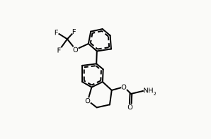 NC(=O)OC1CCOc2ccc(-c3ccccc3OC(F)(F)F)cc21